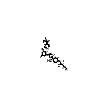 Cc1cc(Nc2nccc(C(F)(F)F)n2)cc(-c2cnc([C@]3(O)CC[C@@H](NC(=O)CCCCl)CC3)s2)c1